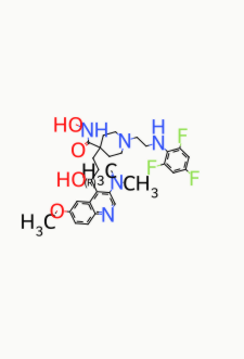 COc1ccc2ncc(N(C)C)c([C@H](O)CCC3(C(=O)NO)CCN(CCNc4c(F)cc(F)cc4F)CC3)c2c1